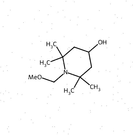 COCN1C(C)(C)CC(O)CC1(C)C